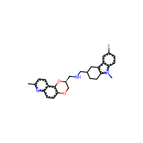 Cc1ccc2c3c(ccc2n1)OC[C@H](CNCC1CCc2c(c4cc(F)ccc4n2C)C1)O3